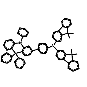 CC1(C)c2ccccc2-c2ccc(N(c3ccc(-c4ccc5c(c4)N(c4ccccc4)c4ccccc4C5(c4ccccc4)c4ccccc4)cc3)c3ccc4c(c3)C(C)(C)c3ccccc3-4)cc21